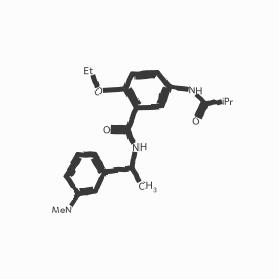 CCOc1ccc(NC(=O)C(C)C)cc1C(=O)NC(C)c1cccc(NC)c1